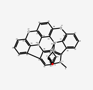 Cn1c2[n+](c3ccncc31)[N+]13c4c(cccc4-2)Oc2ccc4c(c21)-n1c2c(cccc2c2ccc[n+]3c21)O4